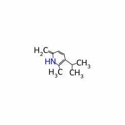 C=C1C=CC(C(C)C)=C(C)N1